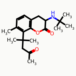 CC(=O)CC(C)(C)c1c(C)ccc2c1OC(=O)C(NC(C)(C)C)C2